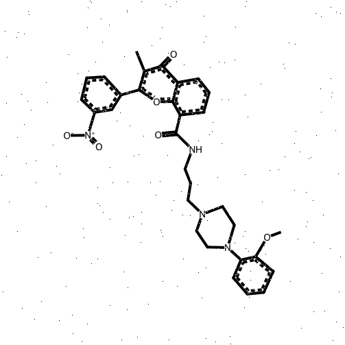 COc1ccccc1N1CCN(CCCNC(=O)c2cccc3c(=O)c(C)c(-c4cccc([N+](=O)[O-])c4)oc23)CC1